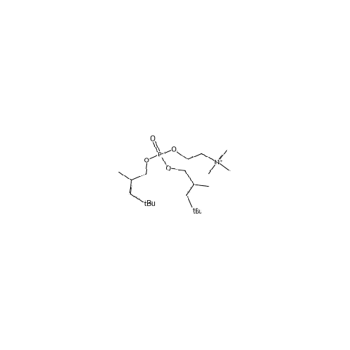 CC(COP(=O)(OCC[N+](C)(C)C)OCC(C)CC(C)(C)C)CC(C)(C)C